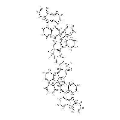 CC1(C)c2cc3c(cc2-c2cc4c(cc21)-c1c(cc(-c2cccc5c2oc2ccccc25)c2ccccc12)C4(c1ccccc1)c1ccccc1)C(C)(C)c1cc2c(cc1-3)C(c1ccccc1)(c1ccccc1)c1cc(-c3cccc4c3oc3ccccc34)c3ccccc3c1-2